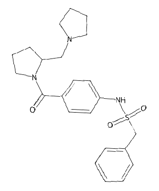 O=C(c1ccc(NS(=O)(=O)Cc2ccccc2)cc1)N1CCCC1CN1CCCC1